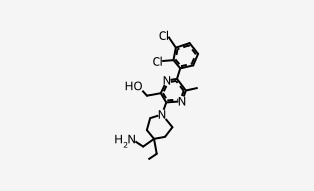 CCC1(CN)CCN(c2nc(C)c(-c3cccc(Cl)c3Cl)nc2CO)CC1